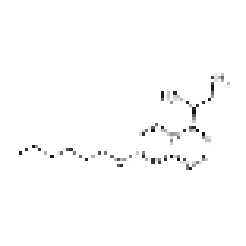 CCCCCCOc1ccc2c(C(N)CN)ccnc2c1